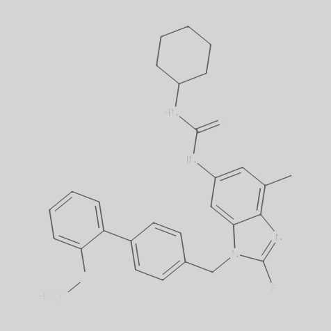 CCc1nc2c(C)cc(NC(=O)NC3CCCCC3)cc2n1Cc1ccc(-c2ccccc2OC(=O)O)cc1